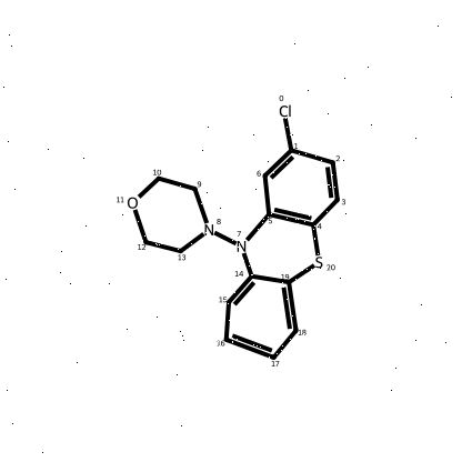 Clc1ccc2c(c1)N(N1CCOCC1)c1ccccc1S2